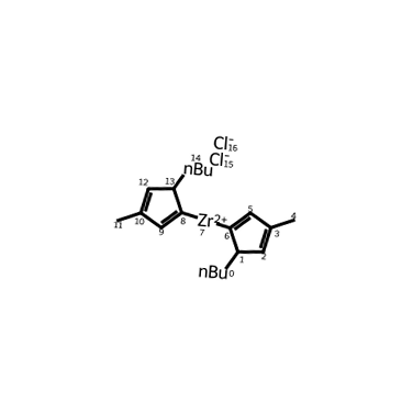 CCCCC1C=C(C)C=[C]1[Zr+2][C]1=CC(C)=CC1CCCC.[Cl-].[Cl-]